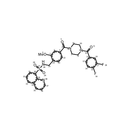 COc1cc(C(=O)N2CCN(C(=O)c3ccc(F)c(F)c3)CC2)ccc1CNS(=O)(=O)c1cccc2cccnc12